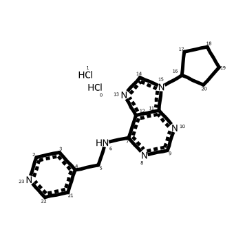 Cl.Cl.c1cc(CNc2ncnc3c2ncn3C2CCCC2)ccn1